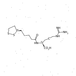 N=C(N)NCCC[C@H](NC(=O)CCCC[C@@H]1CCSS1)C(=O)O